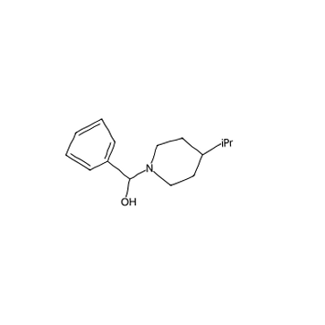 CC(C)C1CCN(C(O)c2ccccc2)CC1